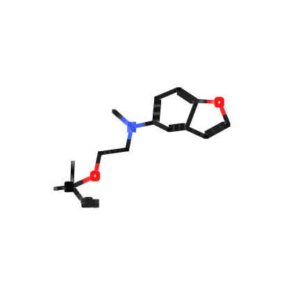 CN(CCO[Si](C)(C)C(C)(C)C)c1ccc2occc2c1